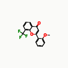 COc1ccccc1-c1cc(=O)c2cccc(C(F)(F)F)c2o1